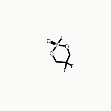 O=P1(I)OCC(F)(F)CO1